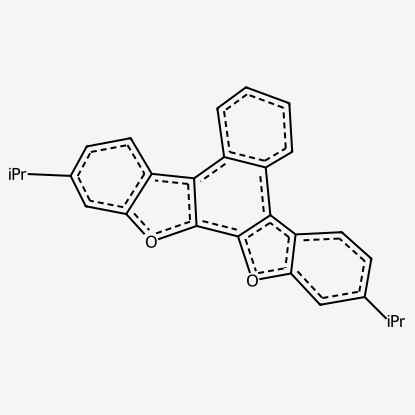 CC(C)c1ccc2c(c1)oc1c3oc4cc(C(C)C)ccc4c3c3ccccc3c21